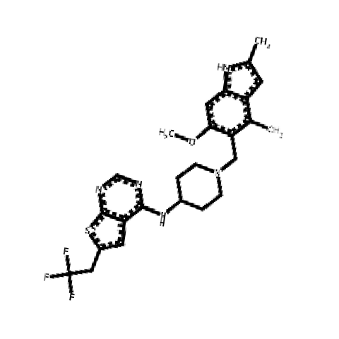 COc1cc2[nH]c(C)cc2c(C)c1CN1CCC(Nc2ncnc3sc(CC(F)(F)F)cc23)CC1